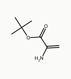 C=C(N)C(=O)OC(C)(C)C